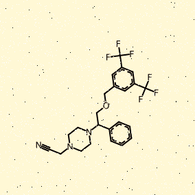 N#CCN1CCN(C(COCc2cc(C(F)(F)F)cc(C(F)(F)F)c2)c2ccccc2)CC1